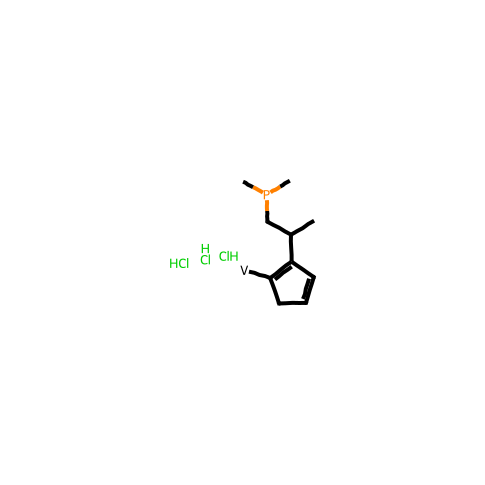 CC(CP(C)C)C1=[C]([V])CC=C1.Cl.Cl.Cl